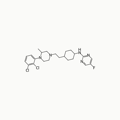 CC1CN(CCC2CCC(Nc3ncc(F)cn3)CC2)CCN1c1cccc(Cl)c1Cl